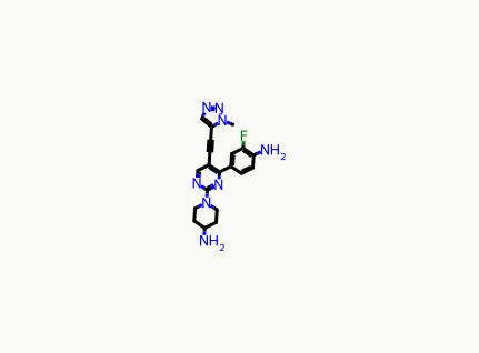 Cn1nncc1C#Cc1cnc(N2CCC(N)CC2)nc1-c1ccc(N)c(F)c1